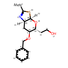 CNC1=N[C@@H]2C[C@H](OCc3ccccc3)[C@@H](CCO)O[C@@H]2S1